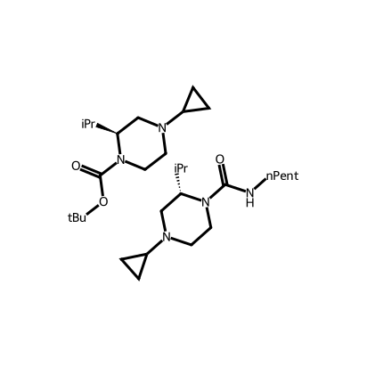 CC(C)[C@H]1CN(C2CC2)CCN1C(=O)OC(C)(C)C.CCCCCNC(=O)N1CCN(C2CC2)C[C@@H]1C(C)C